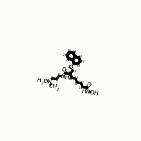 CN(C)CCCNC(=O)/C(=C/CCCCC(=O)NO)COc1cccc2ccccc12